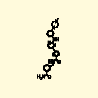 CN1CCN(c2cccc(Nc3nccc(-c4ccc(C(=O)NCc5cccc(C(N)=O)c5)s4)n3)c2)CC1